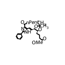 CCCCCC(=O)c1nc(-c2ccccc2)[nH]c1/C=C/[C@H]1OC(C)(C)O[C@H]1CCCC(=O)OC